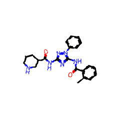 Cc1ccccc1C(=O)Nc1nc(NC(=O)C2CCCNC2)nn1-c1ccccc1